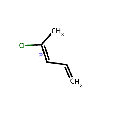 C=C/C=C(\C)Cl